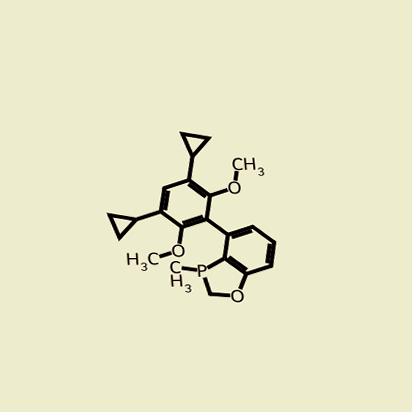 COc1c(C2CC2)cc(C2CC2)c(OC)c1-c1cccc2c1P(C)CO2